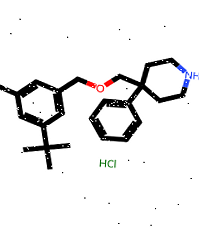 Cc1cc(COCC2(c3ccccc3)CCNCC2)cc(C(C)(C)C)c1.Cl